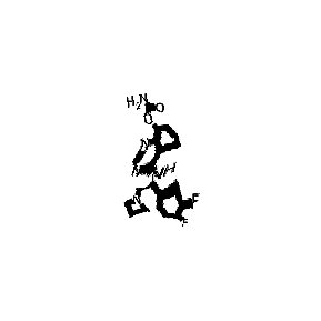 NC(=O)Oc1cccc2c(N[C@H](CN3CCC3)c3ccc(F)c(F)c3)ncnc12